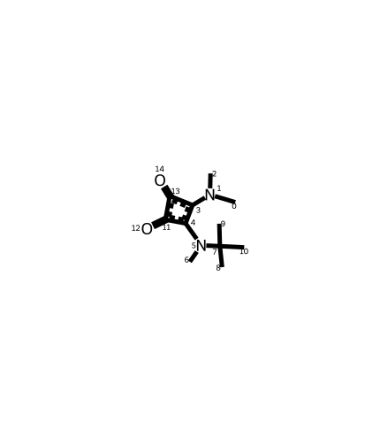 CN(C)c1c(N(C)C(C)(C)C)c(=O)c1=O